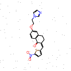 O=C1C(=Cc2ccc([N+](=O)[O-])s2)CCc2cc(OCCn3ccnc3)ccc21